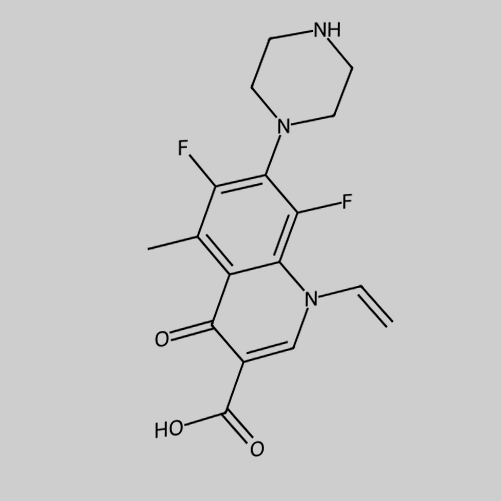 C=Cn1cc(C(=O)O)c(=O)c2c(C)c(F)c(N3CCNCC3)c(F)c21